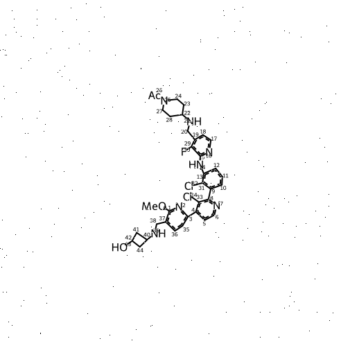 COc1nc(-c2ccnc(-c3cccc(Nc4nccc(CNC5CCN(C(C)=O)CC5)c4F)c3Cl)c2Cl)ccc1CNC1CC(O)C1